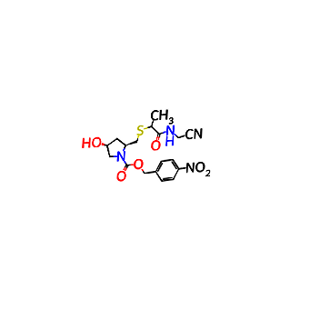 CC(SC[C@@H]1C[C@H](O)CN1C(=O)OCc1ccc([N+](=O)[O-])cc1)C(=O)NCC#N